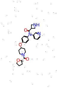 O=C([C@@H]1CCCO1)N1CCC(Oc2ccc(N(C(=O)C3CNC3)c3cccnc3)cc2)CC1